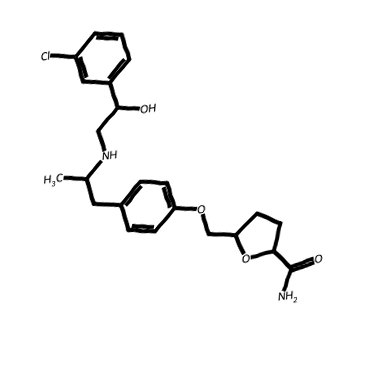 CC(Cc1ccc(OCC2CCC(C(N)=O)O2)cc1)NCC(O)c1cccc(Cl)c1